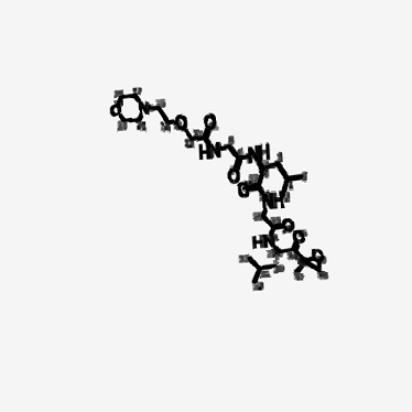 CC(C)C[C@H](NC(=O)CNC(=O)COCCN1CCOCC1)C(=O)NCC(=O)N[C@@H](CC(C)C)C(=O)[C@@]1(C)CO1